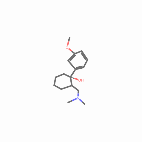 COc1cccc([C@@]2(O)CCCCC2CN(C)C)c1